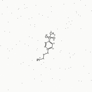 CC(C)CCCc1ccc(S(C)(=O)=O)cc1